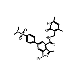 Cc1cc(C)c(CNC(=O)c2cc(-c3ccc(S(=O)(=O)N(C)C)cc3)nc3c2c(C)nn3C(C)C)c(=O)[nH]1